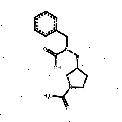 CC(=O)N1CC[C@H](CN(Cc2ccccc2)C(=O)O)C1